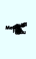 COc1ccc2nc(C=Cc3ccc(Cl)cc3)nc(NC3CCCCC3NC(=O)OC(C)(C)C)c2c1